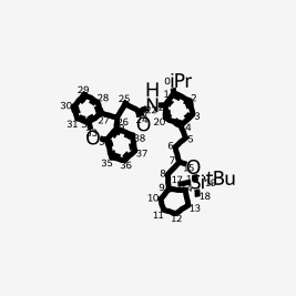 CC(C)c1ccc(CCC(CC2CCCCC2)O[Si](C)(C)C(C)(C)C)cc1NC(=O)CC1c2ccccc2Oc2ccccc21